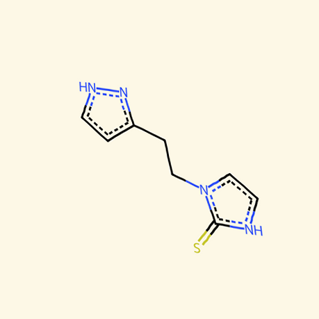 S=c1[nH]ccn1CCc1cc[nH]n1